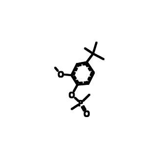 COc1cc(C(C)(C)C)ccc1OP(C)(C)=O